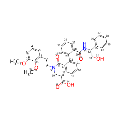 COc1cccc(CCN(CCC(=O)O)C(=O)c2ccccc2-c2ccccc2C(=O)N[C@@H](CO)c2ccccc2)c1OC